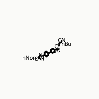 CCCCCCCCCOc1cnc(-c2ccc(-c3ccc(C(=O)OCCC(C#N)CCCC)cc3)cc2)nc1